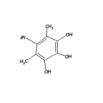 Cc1c(O)c(O)c(O)c(C)c1C(C)C